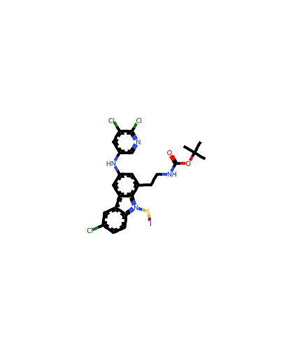 CC(C)(C)OC(=O)NCCc1cc(Nc2cnc(Cl)c(Cl)c2)cc2c3cc(Cl)ccc3n(SI)c12